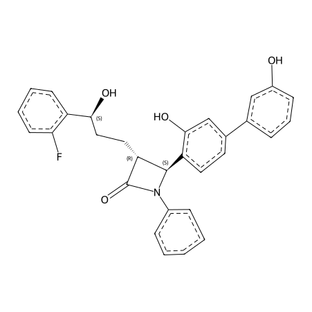 O=C1[C@H](CC[C@H](O)c2ccccc2F)[C@@H](c2ccc(-c3cccc(O)c3)cc2O)N1c1ccccc1